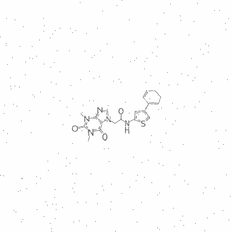 Cn1c(=O)c2c(ncn2CC(=O)Nc2cc(C3=CCCC=C3)cs2)n(C)c1=O